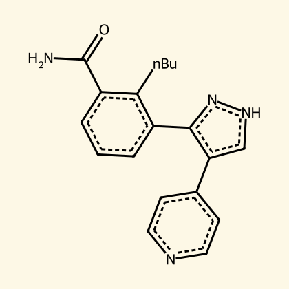 CCCCc1c(C(N)=O)cccc1-c1n[nH]cc1-c1ccncc1